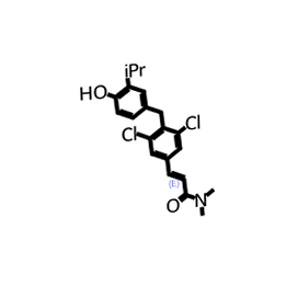 CC(C)c1cc(Cc2c(Cl)cc(/C=C/C(=O)N(C)C)cc2Cl)ccc1O